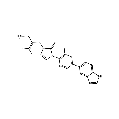 Cc1cc(-c2cnc3[nH]ccc3c2)cnc1-n1cnn(CC(CN)=C(F)F)c1=O